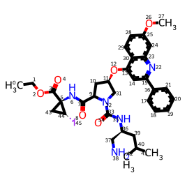 CCOC(=O)[C@@]1(NC(=O)C2C[C@@H](Oc3cc(-c4ccccc4)nc4cc(OC)ccc34)CN2C(=O)N[C@H](CN)CC(C)C)C[C@H]1I